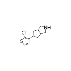 Clc1sccc1C1=CC2CNCC2C1